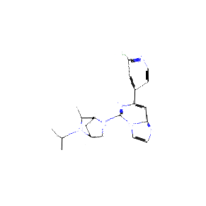 CC(C)N1C(C)[C@@H]2C[C@H]1CN2c1nc(-c2ccnc(Cl)c2)cc2nccn12